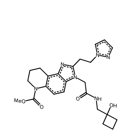 COC(=O)N1CCCc2c1ccc1c2nc(CCn2cccn2)n1CC(=O)NCC1(O)CCC1